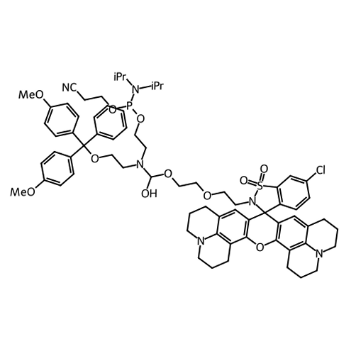 COc1ccc(C(OCCN(CCOP(OCCC#N)N(C(C)C)C(C)C)C(O)OCCOCCN2C3(c4ccc(Cl)cc4S2(=O)=O)c2cc4c5c(c2Oc2c3cc3c6c2CCCN6CCC3)CCCN5CCC4)(c2ccccc2)c2ccc(OC)cc2)cc1